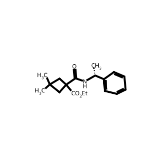 CCOC(=O)C1(C(=O)N[C@H](C)c2ccccc2)CC(C)(C)C1